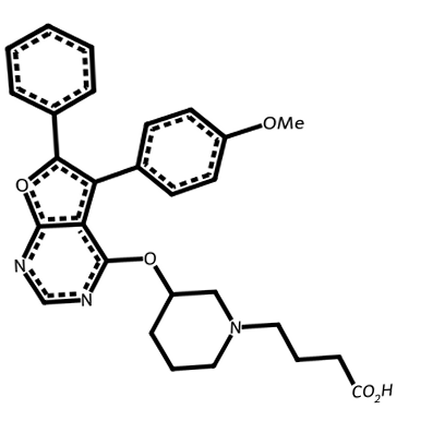 COc1ccc(-c2c(-c3ccccc3)oc3ncnc(OC4CCCN(CCCC(=O)O)C4)c23)cc1